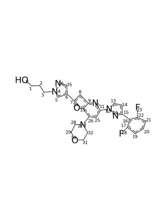 OCCCn1cc(-c2cc3nc(-n4ccc(-c5c(F)cccc5F)n4)cc(N4CCOCC4)c3o2)cn1